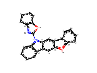 c1ccc2oc(-n3c4ccccc4c4cc5oc6ccccc6c5cc43)nc2c1